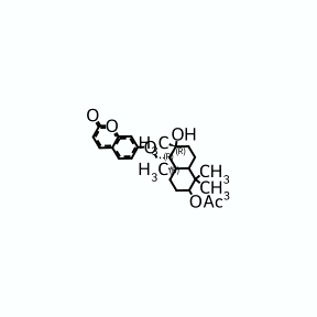 CC(=O)OC1CC[C@]2(C)C(CC[C@@](C)(O)[C@H]2COc2ccc3ccc(=O)oc3c2)C1(C)C